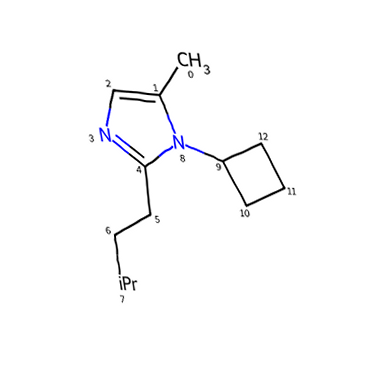 Cc1cnc(CCC(C)C)n1C1CCC1